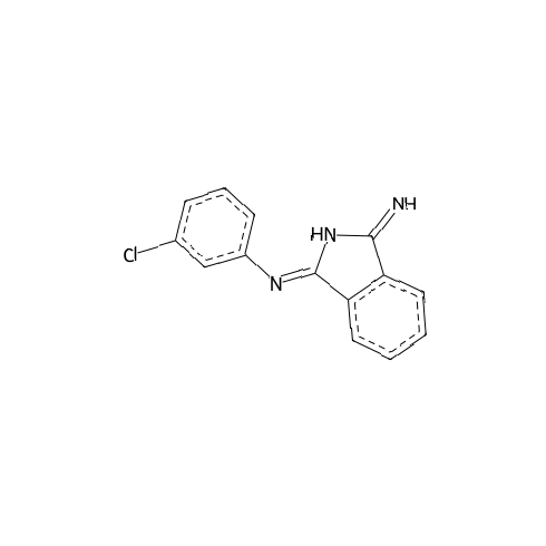 N=C1NC(=Nc2cccc(Cl)c2)c2ccccc21